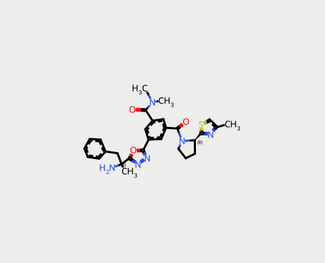 Cc1csc([C@H]2CCCN2C(=O)c2cc(C(=O)N(C)C)cc(-c3nnc([C@](C)(N)Cc4ccccc4)o3)c2)n1